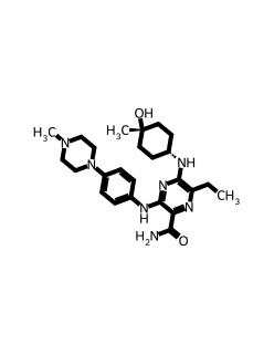 CCc1nc(C(N)=O)c(Nc2ccc(N3CCN(C)CC3)cc2)nc1N[C@H]1CC[C@@](C)(O)CC1